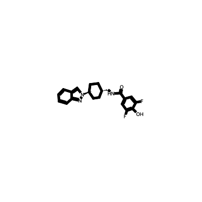 O=C(NC[C@H]1CC[C@H](n2cc3ccccc3n2)CC1)c1cc(F)c(O)c(F)c1